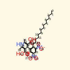 CCCCCCCCCCCCCCCc1c([N+](=O)[O-])cc([N+](=O)[O-])c(OC)c1C1C(C(=O)O)=C(C)NC(C)=C1C(=O)O